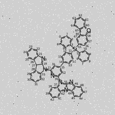 c1ccc([Si](c2ccccc2)(c2ccc(-c3cc(N4C5=Nc6ccccc6C5c5ccccc54)nc(-n4c5ccccc5n5c6ccccc6nc45)c3)cc2)c2ccc3oc4ccccc4c3c2)cc1